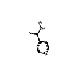 CC(C)NC(=S)c1ccncc1